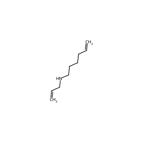 C=CCCCCNCC=C